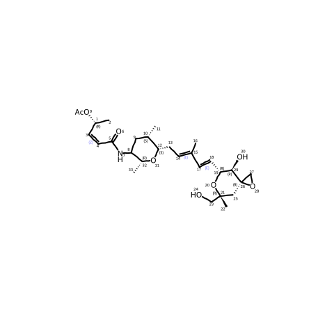 CC(=O)O[C@H](C)/C=C\C(=O)NC1C[C@H](C)[C@H](C/C=C(C)/C=C/[C@H]2O[C@@](C)(CO)C[C@@]3(CO3)[C@@H]2O)O[C@@H]1C